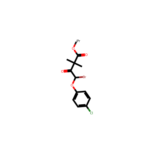 CC(C)OC(=O)C(C)(C)C(=O)C(Br)Oc1ccc(Cl)cc1